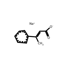 CC(=CC(=O)[O-])c1ccccc1.[Na+]